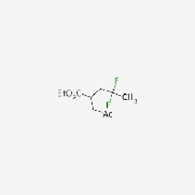 CCOC(=O)C(CC(C)=O)CC(C)(F)F